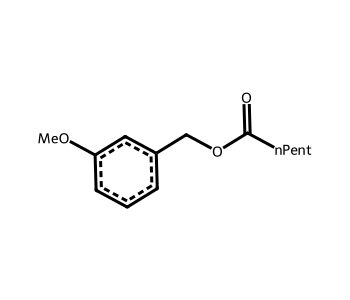 CCCCCC(=O)OCc1cccc(OC)c1